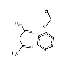 CC(=O)OC(C)=O.ClCCl.c1ccncc1